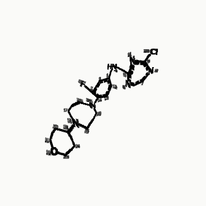 Fc1cc(Nc2ncnc(Cl)n2)ccc1N1CCN(C2CCOCC2)CC1